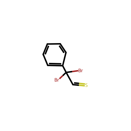 S=CC(Br)(Br)c1ccccc1